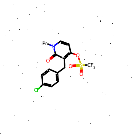 CC(C)n1ccc(OS(=O)(=O)C(F)(F)F)c(Cc2ccc(Cl)cc2)c1=O